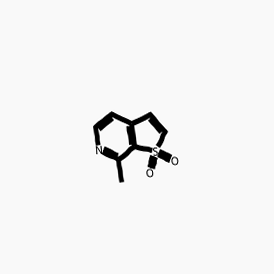 Cc1nccc2c1S(=O)(=O)C=C2